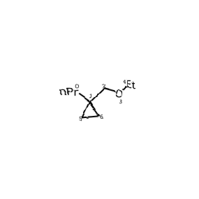 CCCC1(COCC)CC1